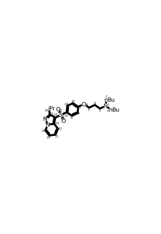 CCCCN(CCCC)CCCOc1ccc(S(=O)(=O)c2c(C(C)C)nn3ccccc23)cc1